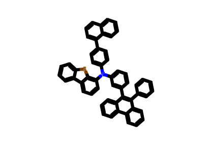 c1ccc(-c2c(-c3cccc(N(c4ccc(-c5cccc6ccccc56)cc4)c4cccc5c4sc4ccccc45)c3)c3ccccc3c3ccccc23)cc1